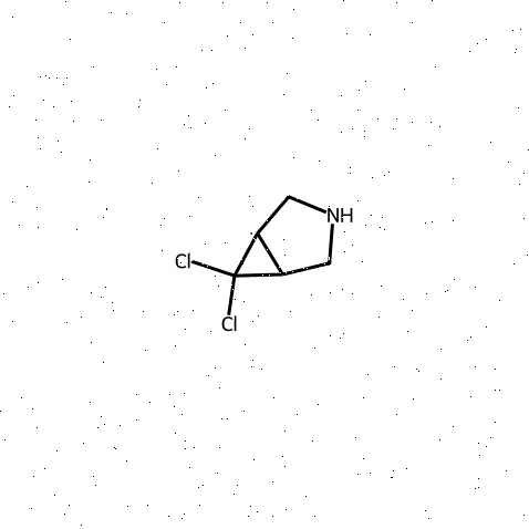 ClC1(Cl)[C]2CNCC21